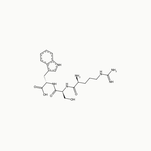 N=C(N)NCCC[C@H](N)C(=O)N[C@@H](CO)C(=O)N[C@@H](Cc1c[nH]c2ccccc12)C(=O)O